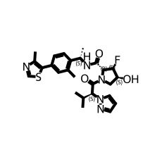 Cc1cc(-c2scnc2C)ccc1[C@H](C)NC(=O)[C@@H]1[C@@H](F)[C@@H](O)CN1C(=O)[C@H](C(C)C)n1cccn1